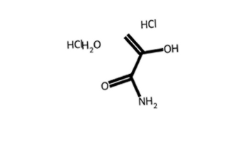 C=C(O)C(N)=O.Cl.Cl.O